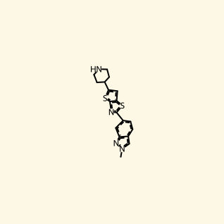 Cn1cc2ccc(-c3nc4sc(C5CCNCC5)cc4s3)cc2n1